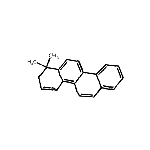 CC1(C)CC=Cc2c1ccc1c2ccc2ccccc21